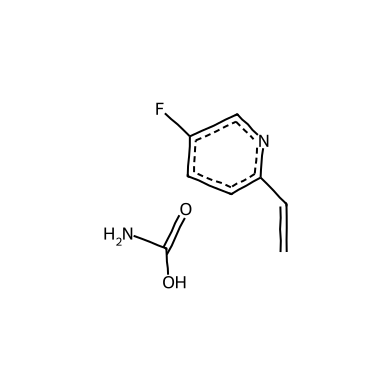 C=Cc1ccc(F)cn1.NC(=O)O